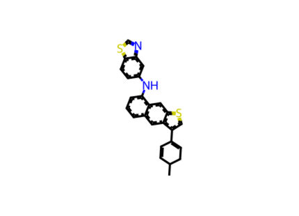 CC1C=CC(c2csc3cc4c(Nc5ccc6scnc6c5)cccc4cc23)=CC1